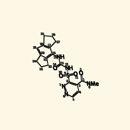 CNC(=O)c1ccnnc1S(=O)(=O)NC(=O)Nc1c2c(cc3c1CCC3)CCC2